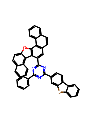 c1ccc(-c2nc(-c3ccc4c(c3)sc3ccccc34)nc(-c3cc4ccc5ccccc5c4c4oc5ccc6ccccc6c5c34)n2)cc1